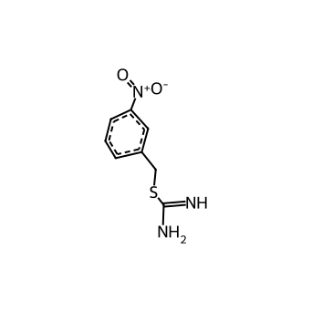 N=C(N)SCc1cccc([N+](=O)[O-])c1